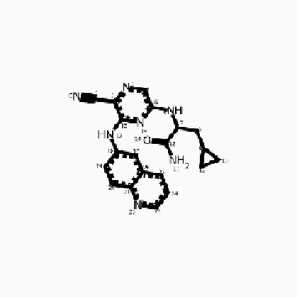 N#Cc1ncc(NC(CC2CC2)C(N)=O)nc1Nc1ccc2ncccc2c1